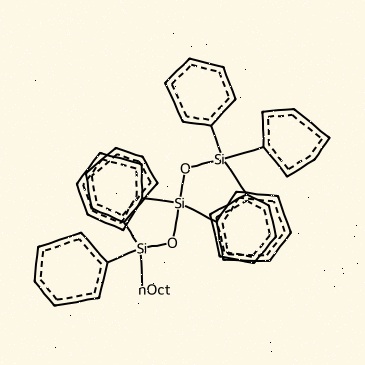 [CH2]CCCCCCC[Si](O[Si](O[Si](c1ccccc1)(c1ccccc1)c1ccccc1)(c1ccccc1)c1ccccc1)(c1ccccc1)c1ccccc1